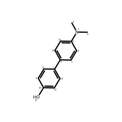 CN(C)c1ccc(-c2ccc(O)cc2)cc1